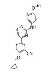 CCOc1ccc(Nc2nccc(-c3ccc(OCC4CC4)c(C#N)c3)n2)cn1